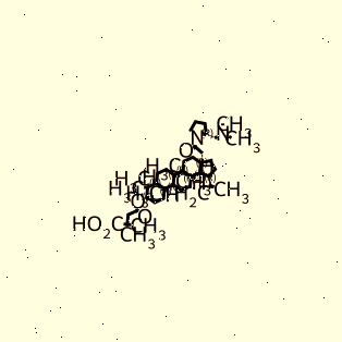 C=C(C)[C@@H]1CC[C@]2(CC(=O)N3CCC[C@@H]3CN(C)C)CC[C@]3(C)[C@H](CC[C@@H]4[C@@]5(C)CC[C@H](OC(=O)CC(C)(C)C(=O)O)C(C)(C)[C@@H]5CC[C@]43C)[C@@H]12